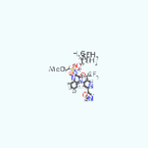 COCCS(=O)(=O)N(COCC[Si](C)(C)C)c1nc2ccccc2nc1OC(c1ccc(-c2cnco2)nc1)C(F)(F)F